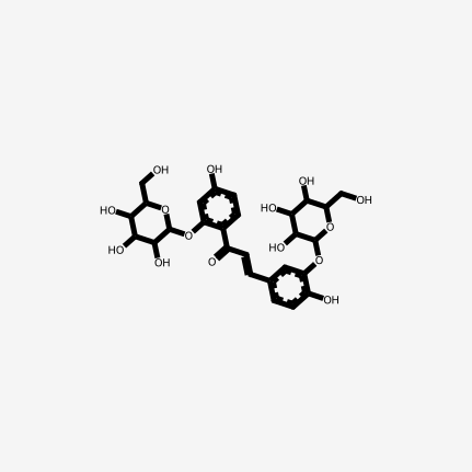 O=C(/C=C/c1ccc(O)c(OC2OC(CO)C(O)C(O)C2O)c1)c1ccc(O)cc1OC1OC(CO)C(O)C(O)C1O